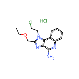 CCOCc1nc2c(N)nc3ccccc3c2n1CCCl.Cl